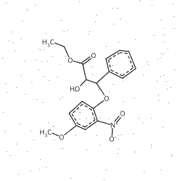 CCOC(=O)C(O)C(Oc1ccc(OC)cc1[N+](=O)[O-])c1ccccc1